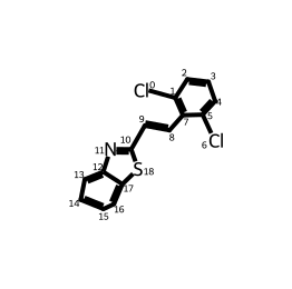 Clc1cccc(Cl)c1/C=C/c1nc2ccccc2s1